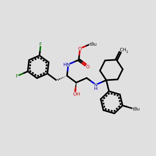 C=C1CCC(NC[C@@H](O)[C@H](Cc2cc(F)cc(F)c2)NC(=O)OC(C)(C)C)(c2cccc(C(C)(C)C)c2)CC1